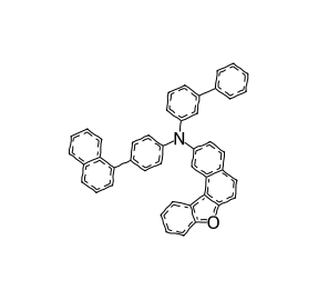 c1ccc(-c2cccc(N(c3ccc(-c4cccc5ccccc45)cc3)c3ccc4ccc5oc6ccccc6c5c4c3)c2)cc1